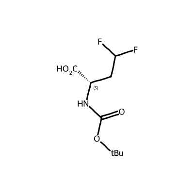 CC(C)(C)OC(=O)N[C@@H](CC(F)F)C(=O)O